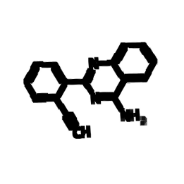 C#Cc1ccccc1-c1nc(N)c2ccccc2n1